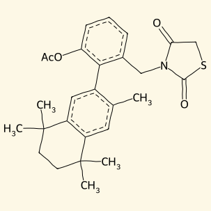 CC(=O)Oc1cccc(CN2C(=O)CSC2=O)c1-c1cc2c(cc1C)C(C)(C)CCC2(C)C